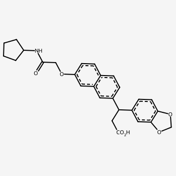 O=C(O)CC(c1ccc2c(c1)OCO2)c1ccc2ccc(OCC(=O)NC3CCCC3)cc2c1